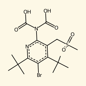 CC(C)(C)c1nc(N(C(=O)O)C(=O)O)c(CS(C)(=O)=O)c(C(C)(C)C)c1Br